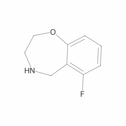 Fc1cccc2c1CNCCO2